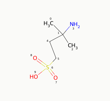 CC(C)(N)CCS(=O)(=O)O